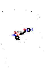 Cc1ccc(NC(=O)OC(C)(C)C)c(OC#CCCCC(=O)N2CCC(N(C)C)CC2)c1